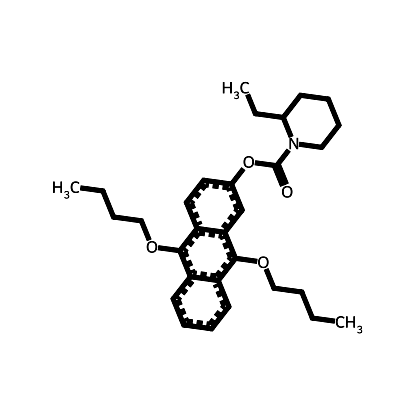 CCCCOc1c2ccccc2c(OCCCC)c2cc(OC(=O)N3CCCCC3CC)ccc12